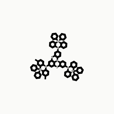 Cc1ccc2c(c1)[Si](c1ccccc1)(c1ccccc1)c1cc(C)ccc1N2c1cc2c3c(c1)Sc1cc(N4c5ccccc5[Si](c5ccccc5)(c5ccccc5)c5ccccc54)ccc1B3c1ccc(N3c4ccccc4[Si](c4ccccc4)(c4ccccc4)c4ccccc43)cc1S2